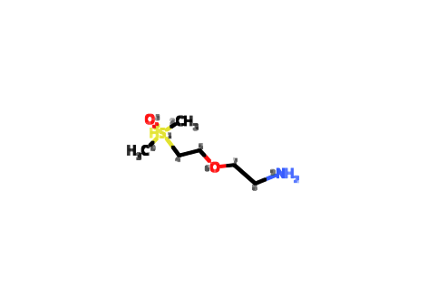 C[SH](C)(=O)CCOCCN